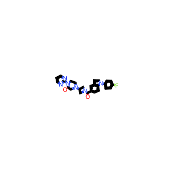 O=C(c1ccc2c(ccn2-c2ccc(F)cc2)c1)N1CC(N2CCN(c3ncccn3)C(=O)C2)C1